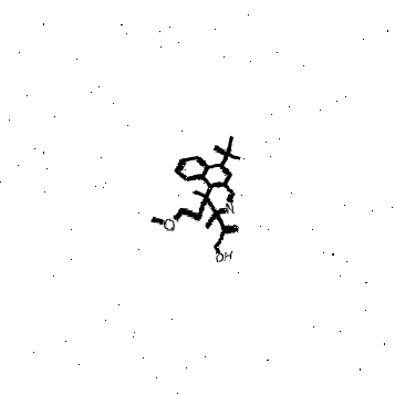 C=C(CO)C1(C)N=Cc2cc(C(C)(C)C)c3ccccc3c2C1(C)CCOC